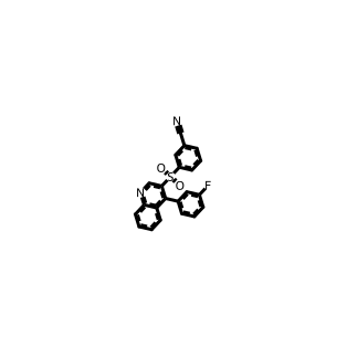 N#Cc1cccc(S(=O)(=O)c2cnc3ccccc3c2-c2cccc(F)c2)c1